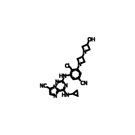 N#Cc1cc(Nc2nc(NC3CC3)c3ncc(C#N)n3n2)c(Cl)c(N2CC(N3CC(O)C3)C2)c1